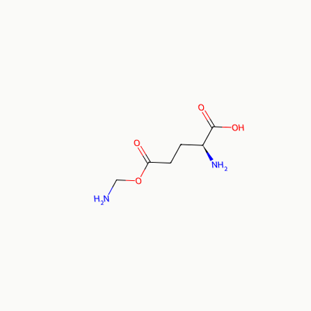 NCOC(=O)CC[C@H](N)C(=O)O